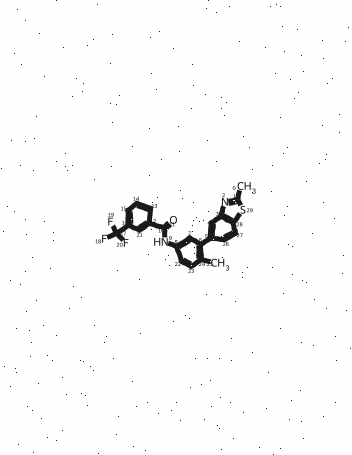 Cc1nc2cc(-c3cc(NC(=O)c4cccc(C(F)(F)F)c4)ccc3C)ccc2s1